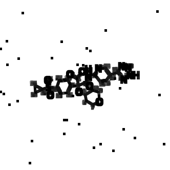 O=C(O)C(OC1CCOCC1)(C(=O)Nc1ccc(-c2nn[nH]n2)cn1)c1ccc(S(=O)(=O)C2CC2)cc1